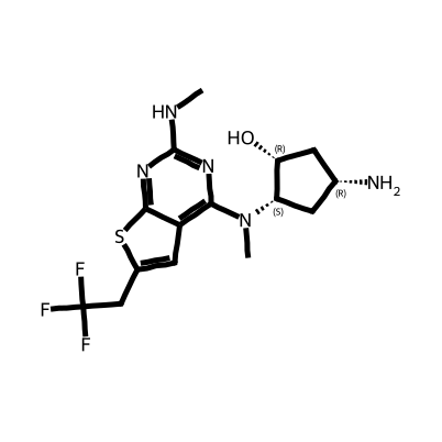 CNc1nc(N(C)[C@H]2C[C@@H](N)C[C@H]2O)c2cc(CC(F)(F)F)sc2n1